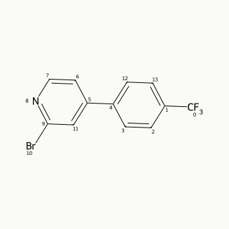 FC(F)(F)c1ccc(-c2ccnc(Br)c2)cc1